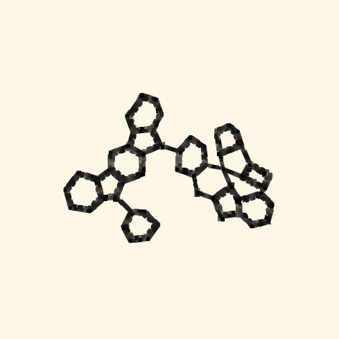 c1ccc(-n2c3ccccc3c3cc4c5ccccc5n(-c5ccc6c(c5)Sc5nc7ccccc7n5C65c6ccccc6-c6ccccc65)c4cc32)cc1